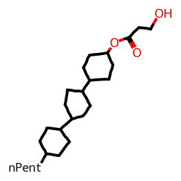 CCCCCC1CCC(C2CCC(C3CCC(OC(=O)CCO)CC3)CC2)CC1